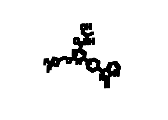 C[C@H](CO)NC(=O)c1cc(N2CCC(c3n[nH]c4ncccc34)CC2)nc(OCC2CC(F)(F)C2)n1